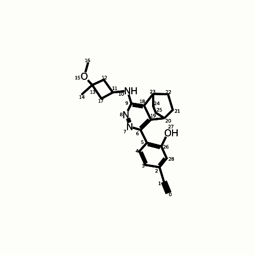 C#Cc1ccc(-c2nnc(NC3CC(C)(OC)C3)c3c2C2CCC3CC2)c(O)c1